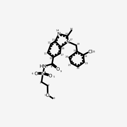 COCCS(=O)(=O)NC(=O)c1ccc2nc(C)n(Cc3ccccc3Cl)c2c1